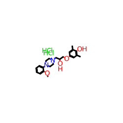 COc1ccccc1N1CCN(CC(O)COc2cc(C)c(O)c(C)c2)CC1.Cl.Cl